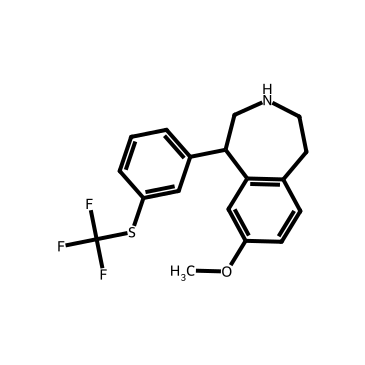 COc1ccc2c(c1)C(c1cccc(SC(F)(F)F)c1)CNCC2